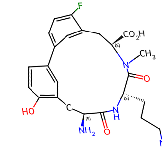 CN1C(=O)[C@H](CCCN)NC(=O)[C@@H](N)Cc2cc(ccc2O)-c2ccc(F)c(c2)C[C@H]1C(=O)O